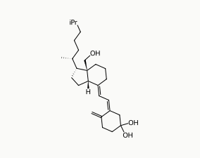 C=C1CCC(O)(O)C/C1=C/C=C1\CCC[C@@]2(CO)[C@@H]([C@H](C)CCCC(C)C)CC[C@@H]12